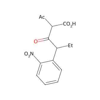 CCC(C(=O)C(C(C)=O)C(=O)O)c1ccccc1[N+](=O)[O-]